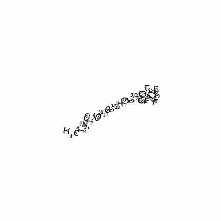 CC1CCN(C(=O)CCOCCOCCOCCOCCC(=O)Oc2c(F)c(F)cc(F)c2F)CC1